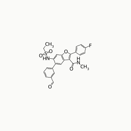 CCS(=O)(=O)Nc1cc2oc(-c3ccc(F)cc3)c(C(=O)NC)c2cc1-c1cccc(C=O)c1